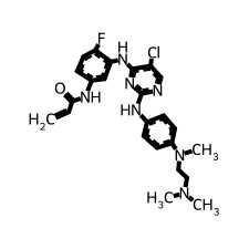 C=CC(=O)Nc1ccc(F)c(Nc2nc(Nc3ccc(N(C)CCN(C)C)cc3)ncc2Cl)c1